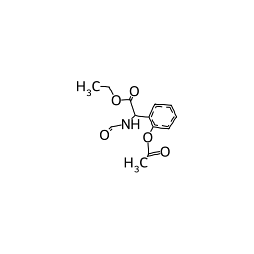 CCOC(=O)C(NC=O)c1ccccc1OC(C)=O